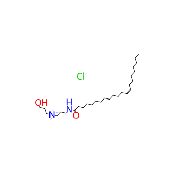 CCCCCCCC/C=C\CCCCCCCCCCCC(=O)NCCC[N+](C)(C)CCCO.[Cl-]